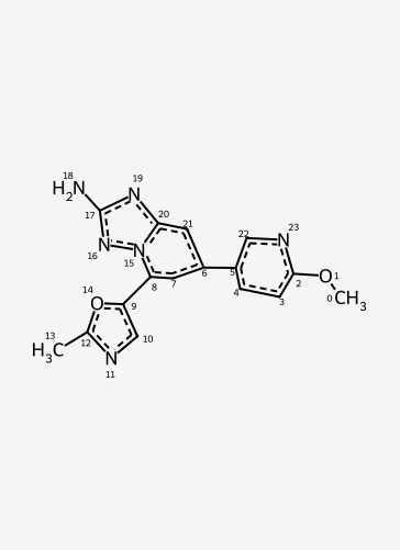 COc1ccc(-c2cc(-c3cnc(C)o3)n3nc(N)nc3c2)cn1